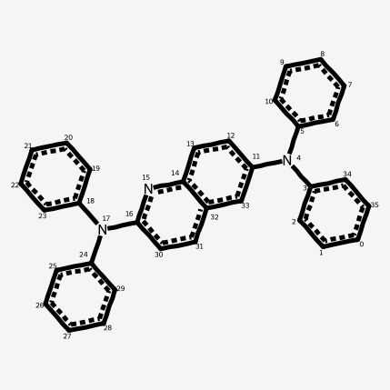 c1ccc(N(c2ccccc2)c2ccc3nc(N(c4ccccc4)c4ccccc4)ccc3c2)cc1